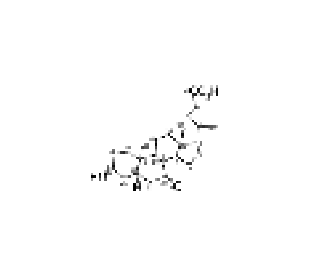 C[C@H](CCC(=O)O)C1CCC2C3C(CC[C@@]21C)[C@@]1(C)CC[C@@H](O)C[C@H]1C[C@@H]3O